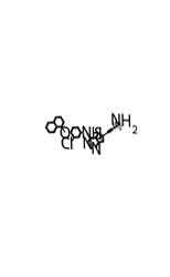 C[C@@H](N)C#Cc1cc2ncnc(Nc3ccc(Oc4cccc5ccccc45)c(Cl)c3)c2s1